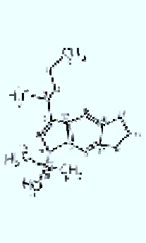 CCCC(C)C1=CC([Si](C)(C)O)c2cc3c(cc21)CCC3